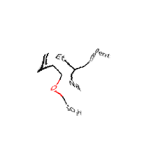 C=CCOS(=O)(=O)O.CCCCC[CH]([Na])CC